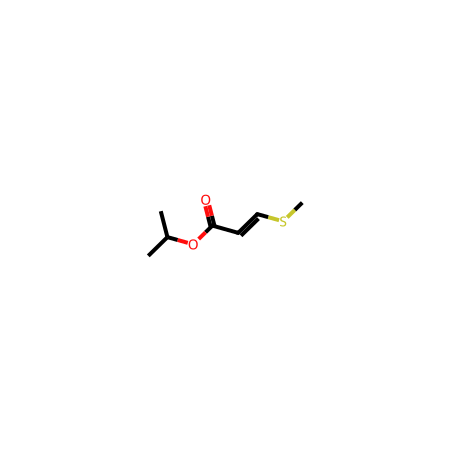 CSC=CC(=O)OC(C)C